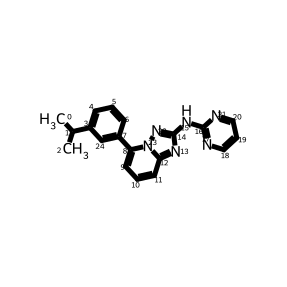 CC(C)c1cccc(-c2cccc3nc(Nc4ncccn4)nn23)c1